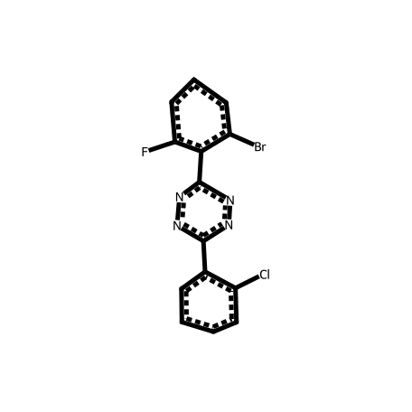 Fc1cccc(Br)c1-c1nnc(-c2ccccc2Cl)nn1